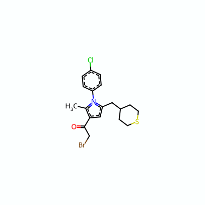 Cc1c(C(=O)CBr)cc(CC2CCSCC2)n1-c1ccc(Cl)cc1